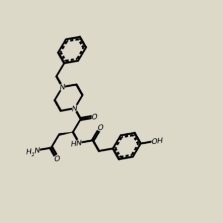 NC(=O)C[C@H](NC(=O)Cc1ccc(O)cc1)C(=O)N1CCN(Cc2ccccc2)CC1